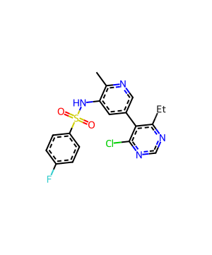 CCc1ncnc(Cl)c1-c1cnc(C)c(NS(=O)(=O)c2ccc(F)cc2)c1